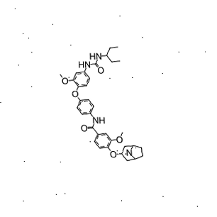 CCC(CC)NC(=O)Nc1ccc(Oc2ccc(NC(=O)c3ccc(OC4CC5CCC(C4)N5C)c(OC)c3)cc2)c(OC)c1